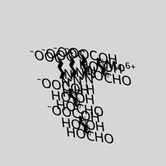 O=C([O-])C=Cc1c[nH]cn1.O=C([O-])C=Cc1c[nH]cn1.O=C([O-])C=Cc1c[nH]cn1.O=C[C@H](O)[C@@H](O)[C@H](O)[C@H](O)C(=O)[O-].O=C[C@H](O)[C@@H](O)[C@H](O)[C@H](O)C(=O)[O-].O=C[C@H](O)[C@@H](O)[C@H](O)[C@H](O)C(=O)[O-].[Mo+6]